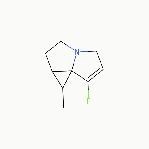 CC1C2CCN3CC=C(F)C123